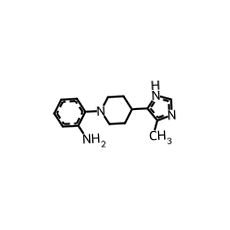 Cc1nc[nH]c1C1CCN(c2ccccc2N)CC1